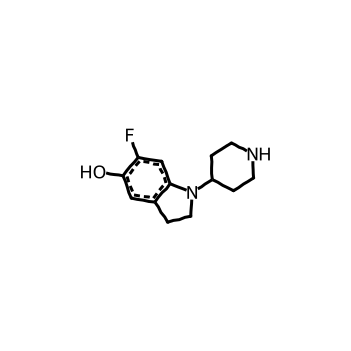 Oc1cc2c(cc1F)N(C1CCNCC1)CC2